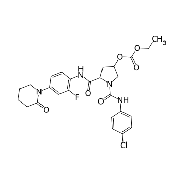 CCOC(=O)OC1CC(C(=O)Nc2ccc(N3CCCCC3=O)cc2F)N(C(=O)Nc2ccc(Cl)cc2)C1